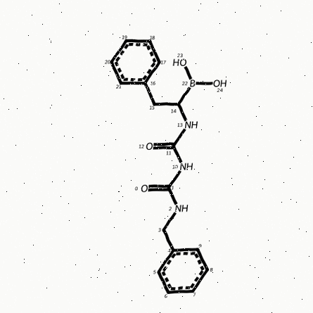 O=C(NCc1ccccc1)NC(=O)NC(Cc1ccccc1)B(O)O